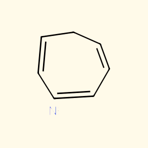 C1=CC=CCC=C1.[N]